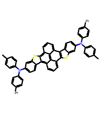 Cc1ccc(N(c2ccc(C(C)C)cc2)c2ccc3c(c2)sc2c4cccc5c6c7ccc(N(c8ccc(C)cc8)c8ccc(C(C)C)cc8)cc7sc6c6cccc(c32)c6c45)cc1